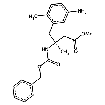 COC(=O)C[C@](C)(Cc1cc(N)ccc1C)NC(=O)OCc1ccccc1